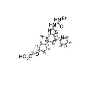 CCNC(=O)Nc1nc2c(F)c(-c3ccc(OCC(=O)O)cc3)cc(-c3ccccn3)c2s1